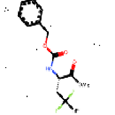 CCCC(F)(F)C[C@H](NC(=O)OCc1ccccc1)C(=O)OC